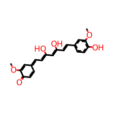 COC1=CC(=CC=C(O)C=C(O)C=Cc2ccc(O)c(OC)c2)C=CC1=O